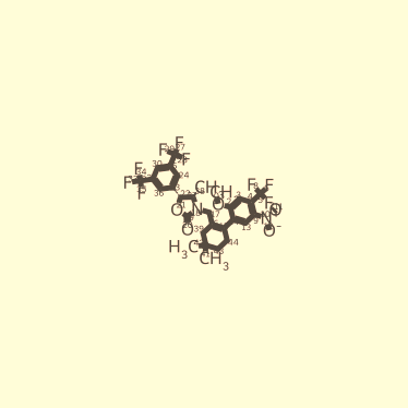 COc1cc(C(F)(F)F)c([N+](=O)[O-])cc1C1=C(CN2C(=O)O[C@H](c3cc(C(F)(F)F)cc(C(F)(F)F)c3)[C@@H]2C)CC(C)(C)CC1